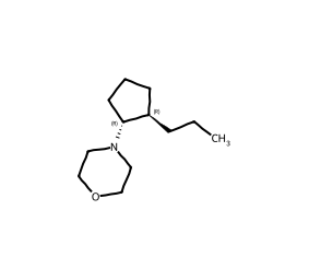 CCC[C@@H]1CCC[C@H]1N1CCOCC1